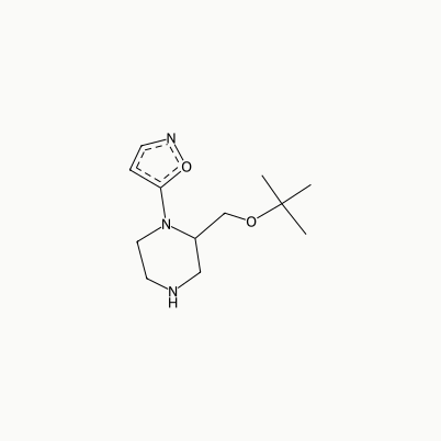 CC(C)(C)OCC1CNCCN1c1ccno1